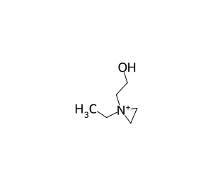 CC[N+]1(CCO)CC1